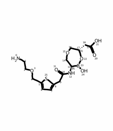 NCCOCc1ccc(CC(=O)N[C@H]2COC[C@H](CC(=O)O)OB2O)s1